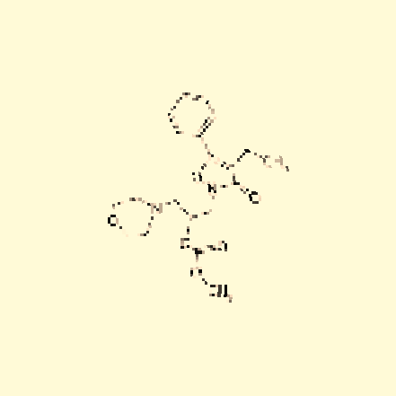 CCc1c(-c2ccccc2)on(CC(CN2CCOCC2)OC(=O)OC)c1=O